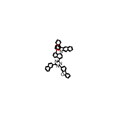 c1ccc(-c2cccc3c(-c4nc(-c5ccc6ccccc6c5)nc(-c5ccc6c(c5)oc5ccccc56)n4)ccc(-n4c5cc6ccccc6cc5c5c6ccccc6ccc54)c23)cc1